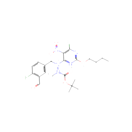 CCCCOc1nc(Cl)c([N+](=O)[O-])c(N(Cc2ccc(F)c(C=O)c2)N(C)C(=O)OC(C)(C)C)n1